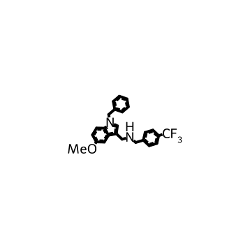 COc1ccc2c(c1)c(CNCc1ccc(C(F)(F)F)cc1)cn2Cc1ccccc1